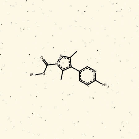 Cc1nn(C(=O)OC(C)(C)C)c(C)c1-c1ccc(N)nc1